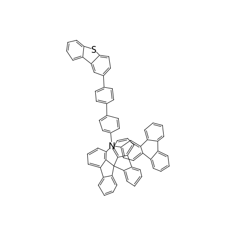 c1ccc2c(c1)-c1ccccc1C21c2ccccc2-c2cccc(N(c3ccc(-c4ccc(-c5ccc6sc7ccccc7c6c5)cc4)cc3)c3ccc4c5ccccc5c5ccccc5c4c3)c21